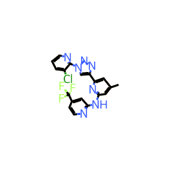 Cc1cc(Nc2cc(C(F)(F)F)ccn2)nc(-c2cn(-c3ncccc3Cl)nn2)c1